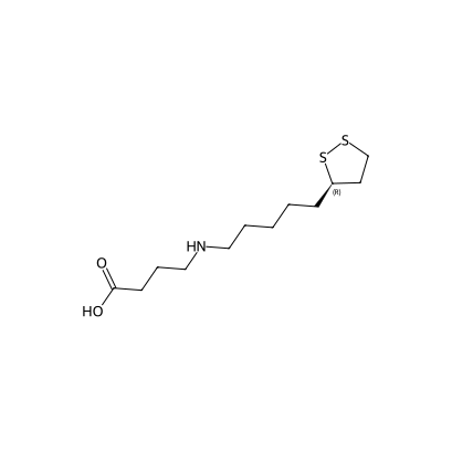 O=C(O)CCCNCCCCC[C@@H]1CCSS1